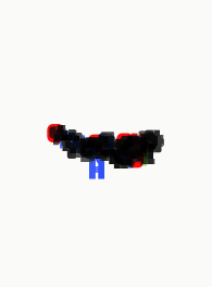 C[C@H]1CN(C2COC2)CCN1c1ccc(Nc2cc(-c3ccnc(N4CCn5c6c(c(F)c5C4=O)CCCC6)c3CO)cn(C)c2=O)nc1